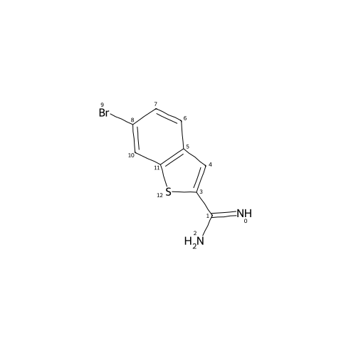 N=C(N)c1cc2ccc(Br)cc2s1